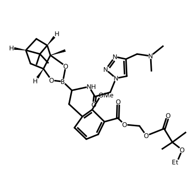 CCOC(C)(C)C(=O)OCOC(=O)c1cccc(CC(NC(=O)Cn2cc(CN(C)C)nn2)B2O[C@@H]3C[C@@H]4C[C@@H](C4(C)C)[C@]3(C)O2)c1OC